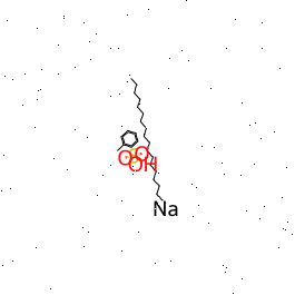 CCCCCCCCCCCCCCCCC[CH2][Na].Cc1ccccc1S(=O)(=O)O